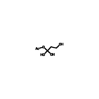 CC(=O)OC(O)(O)CCO